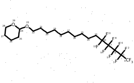 FC(F)(F)C(F)(F)C(F)(F)C(F)(F)C(F)(F)CCCCCCCCCCOC1CCCCO1